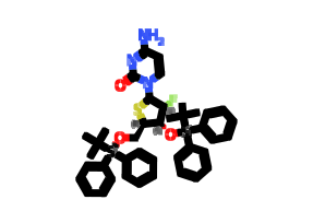 CC(C)(C)[Si](OC[C@H]1SC(n2ccc(N)nc2=O)[C@@H](F)[C@@H]1O[Si](c1ccccc1)(c1ccccc1)C(C)(C)C)(c1ccccc1)c1ccccc1